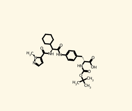 Cn1nccc1C(=O)N[C@H](C(=O)Nc1ccc(C[C@@H](NC(=O)OC(C)(C)C)C(=O)O)cc1)C1CCCCC1